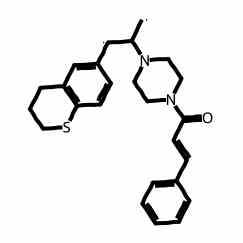 [CH2]C([CH]c1ccc2c(c1)CCCS2)N1CCN(C(=O)C=Cc2ccccc2)CC1